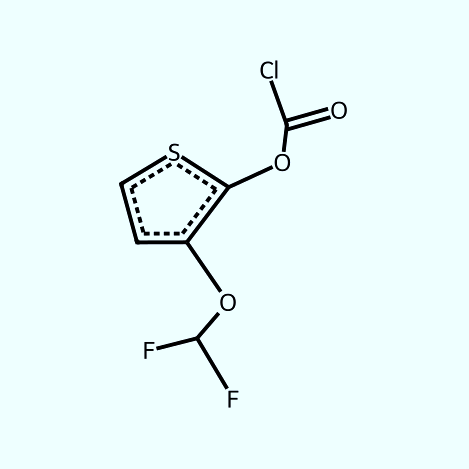 O=C(Cl)Oc1sccc1OC(F)F